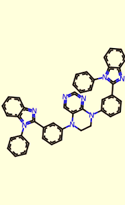 c1ccc(-n2c(-c3cccc(N4CCN(c5cccc(-c6nc7ccccc7n6-c6ccccc6)c5)c5ncncc54)c3)nc3ccccc32)cc1